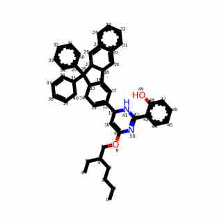 CCCCC(CC)COC1=CC(C2=CCC3C(=C2)C2C=c4ccccc4=CC2C3(c2ccccc2)C2C=CC=CC2)NC(c2ccccc2O)=N1